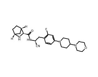 N#C[C@H](Cc1ccc(N2CCC(N3CCOCC3)CC2)cc1F)NC(=O)[C@H]1N[C@@H]2CC[C@H]1C2